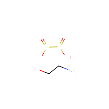 NCCO.O=S(O)S(=O)O